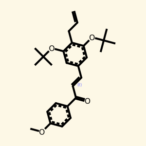 C=CCc1c(OC(C)(C)C)cc(/C=C/C(=O)c2ccc(OC)cc2)cc1OC(C)(C)C